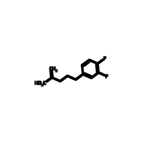 C=C(CCCc1ccc(F)c(F)c1)C(=O)O